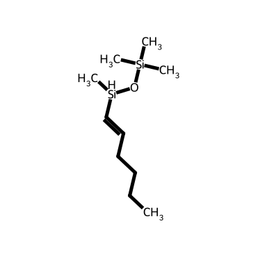 CCCCC=C[SiH](C)O[Si](C)(C)C